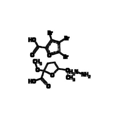 COC1CCC(OC)(C(=O)O)O1.NN.O=C(O)c1oc(Br)c(Br)c1Br